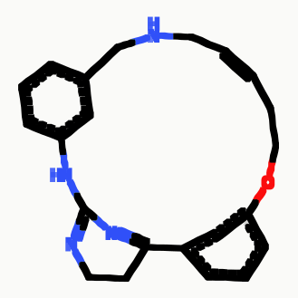 C1=C\CNCc2cccc(c2)NC2=NCCC(=N2)c2cccc(c2)OCC/1